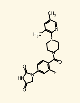 Cc1cnc(N2CCN(C(=O)c3ccc(N4CC(=O)NC4=O)cc3F)CC2)c(C)c1